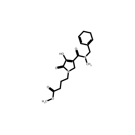 COC(=O)CCCN1CC(C(=O)N(C)CC2=CCCC=C2)=C(O)C1=O